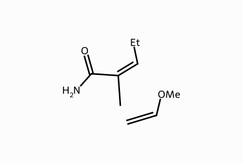 C=COC.CCC=C(C)C(N)=O